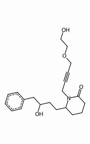 O=C1CCCC(CCC(O)Cc2ccccc2)N1CC#CCOCCO